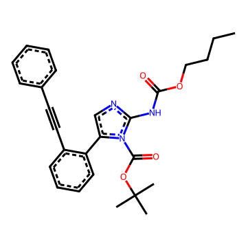 CCCCOC(=O)Nc1ncc(-c2ccccc2C#Cc2ccccc2)n1C(=O)OC(C)(C)C